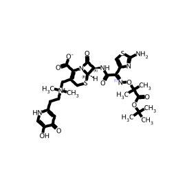 CC(C)(C)OC(=O)C(C)(C)O/N=C(/C(=O)N[C@@H]1C(=O)N2C(C(=O)[O-])=C(C[N+](C)(C)CCc3cc(=O)c(O)c[nH]3)CS[C@H]12)c1csc(N)n1